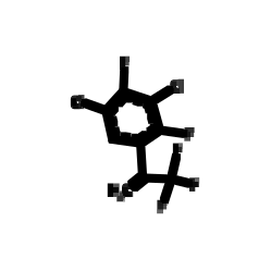 C=C(c1cc(Cl)c(F)c(Cl)c1F)C(F)(F)F